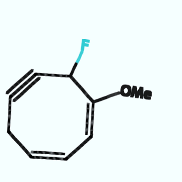 CO/C1=C/C=C\CC#CC1F